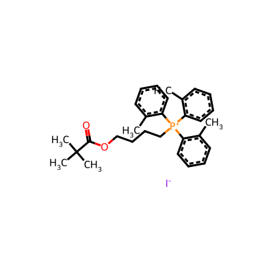 Cc1ccccc1[P+](CCCCOC(=O)C(C)(C)C)(c1ccccc1C)c1ccccc1C.[I-]